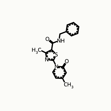 Cc1ccn(-c2nc(C)c(C(=O)NCc3ccccc3)s2)c(=O)c1